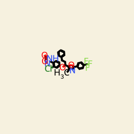 Cc1nc(-c2ccc(C(F)(F)F)cc2)oc1C(CCc1ccccc1)Oc1ccc(-c2noc(=O)[nH]2)c(Cl)c1